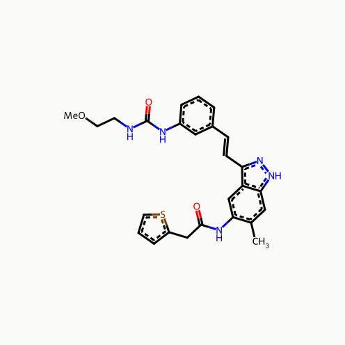 COCCNC(=O)Nc1cccc(C=Cc2n[nH]c3cc(C)c(NC(=O)Cc4cccs4)cc23)c1